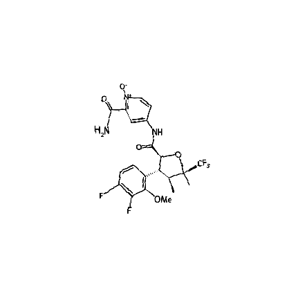 COc1c([C@@H]2[C@@H](C(=O)Nc3cc[n+]([O-])c(C(N)=O)c3)O[C@@](C)(C(F)(F)F)[C@H]2C)ccc(F)c1F